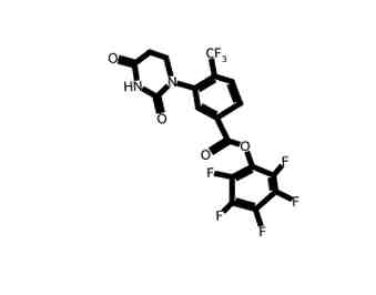 O=C1CCN(c2cc(C(=O)Oc3c(F)c(F)c(F)c(F)c3F)ccc2C(F)(F)F)C(=O)N1